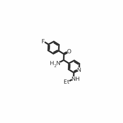 CCNc1cc(C(N)C(=O)c2ccc(F)cc2)ccn1